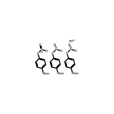 CCCCCCCCCc1ccc(O[PH](=O)[O-])cc1.CCCCCCCCCc1ccc(O[PH](=O)[O-])cc1.CCCCCCCCCc1ccc(O[PH](=O)[O-])cc1.[Nd+3]